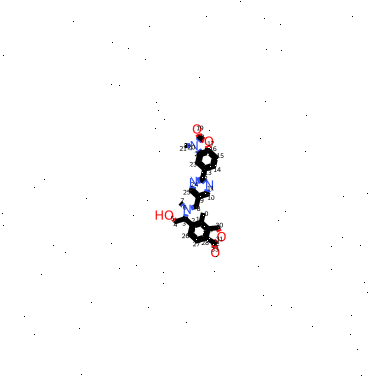 Cc1c(C(CO)N(C)Cc2cnc(-c3ccc4oc(=O)n(C)c4c3)nc2)ccc2c1COC2=O